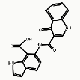 O=C(Nc1ccc2cc[nH]c2c1C(=O)O)c1c[nH]c2ccccc2c1=O